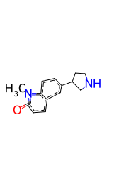 Cn1c(=O)ccc2cc(C3CCNC3)ccc21